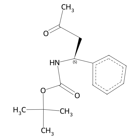 CC(=O)C[C@H](NC(=O)OC(C)(C)C)c1ccccc1